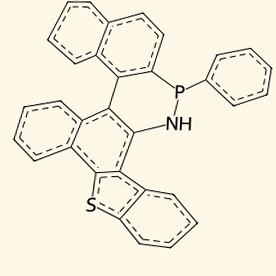 c1ccc(P2Nc3c(c4ccccc4c4sc5ccccc5c34)-c3c2ccc2ccccc32)cc1